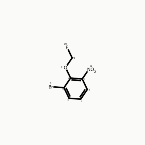 O=[N+]([O-])c1cccc(Br)c1OCF